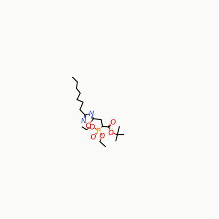 CCCCCCCc1noc(CC(C(=O)OC(C)(C)C)P(=O)(OCC)OCC)n1